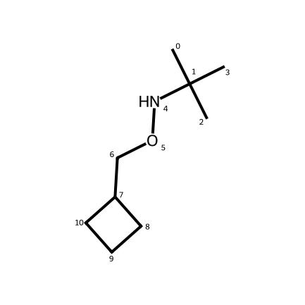 CC(C)(C)NOCC1CCC1